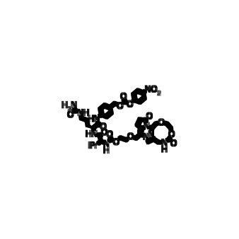 CC(C)C(NC(=O)OCCOCCn1cc2n1C(N1C(=O)C=CC1=O)COCCOC(=O)NC2)C(=O)N[C@@H](CCCNC(N)=O)C(=O)Nc1ccc(COC(=O)Oc2ccc([N+](=O)[O-])cc2)cc1